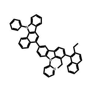 CCc1ccc2ccccc2c1-c1ccc2c3cc(-c4cc5c6ccccc6n(-c6ccccc6)c5c5ccccc45)ccc3n(-c3ccccn3)c2c1CC